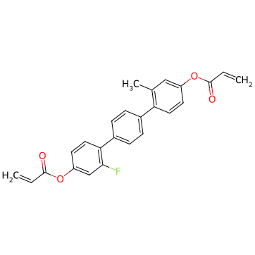 C=CC(=O)Oc1ccc(-c2ccc(-c3ccc(OC(=O)C=C)cc3F)cc2)c(C)c1